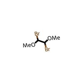 COC(Br)C(Br)OC